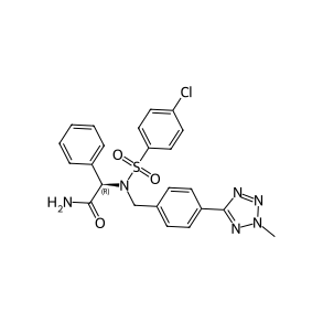 Cn1nnc(-c2ccc(CN([C@@H](C(N)=O)c3ccccc3)S(=O)(=O)c3ccc(Cl)cc3)cc2)n1